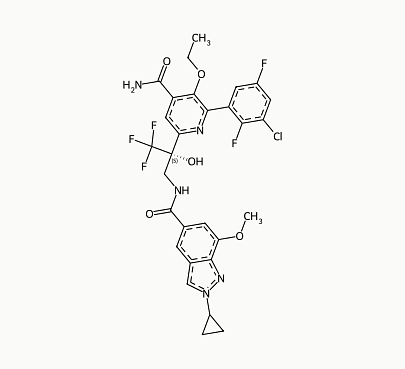 CCOc1c(C(N)=O)cc([C@@](O)(CNC(=O)c2cc(OC)c3nn(C4CC4)cc3c2)C(F)(F)F)nc1-c1cc(F)cc(Cl)c1F